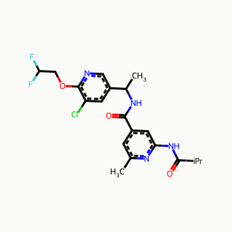 Cc1cc(C(=O)NC(C)c2cnc(OCC(F)F)c(Cl)c2)cc(NC(=O)C(C)C)n1